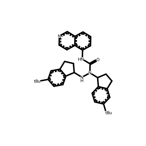 CC(C)(C)c1ccc2c(c1)CCC2NN(C(=O)Nc1cccc2cnccc12)C1CCc2cc(C(C)(C)C)ccc21